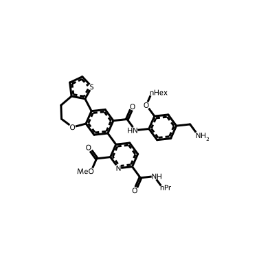 CCCCCCOc1cc(CN)ccc1NC(=O)c1cc2c(cc1-c1ccc(C(=O)NCCC)nc1C(=O)OC)OCCc1ccsc1-2